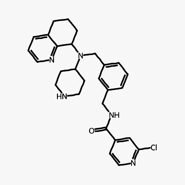 O=C(NCc1cccc(CN(C2CCNCC2)C2CCCc3cccnc32)c1)c1ccnc(Cl)c1